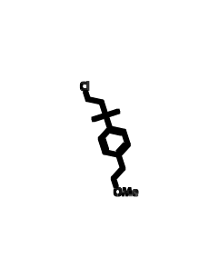 COCCc1ccc(C(C)(C)CCCl)cc1